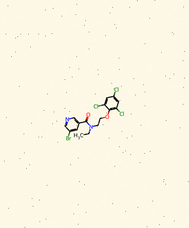 CCN(CCOc1c(Cl)cc(Cl)cc1Cl)C(=O)c1cncc(Br)c1